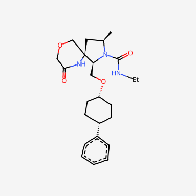 CCNC(=O)N1[C@H](C)C[C@@]2(COCC(=O)N2)[C@@H]1CO[C@H]1CC[C@@H](c2ccccc2)CC1